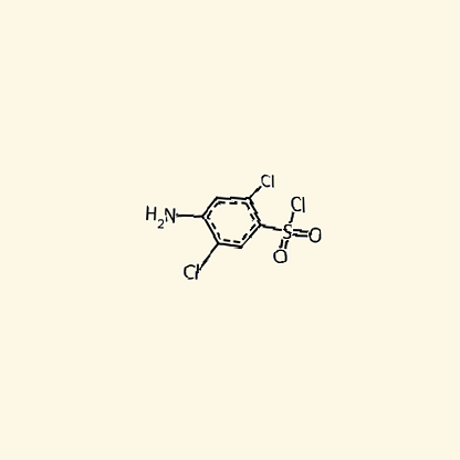 Nc1cc(Cl)c(S(=O)(=O)Cl)cc1Cl